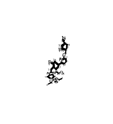 CCOP(=O)(OCC)c1ccc2nc(Cc3ccc(-c4cccc(OCc5ccc(C#N)cc5F)n4)cc3F)n(CCOC)c2c1